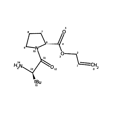 C=CCOC(=O)[C@H]1CCCN1C(=O)[C@H](N)C(C)(C)C